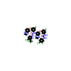 O=C(Nc1cc(F)cc(Oc2ccc3nccnc3c2)c1)Nc1ccc(Cl)c(C(F)(F)F)c1.O=C(Nc1cc(F)cc(Oc2ccc3nccnc3c2)c1)Nc1ccc(Cl)c(F)c1